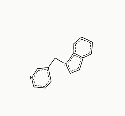 c1cncc(Cn2ccc3ccccc32)c1